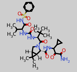 CC(C)[C@H](NC(=O)N[C@H](C(=O)N1C[C@H]2[C@@H]([C@H]1C(=O)NC(C(=O)C(N)=O)C1CC1)C2(C)C)C(C)(C)C)C(=O)NS(=O)(=O)c1ccccc1